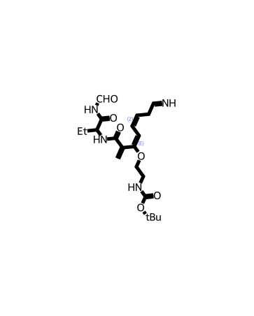 C=C(C(=O)NC(CC)C(=O)NC=O)/C(=C\C=C/CC=N)OCCNC(=O)OC(C)(C)C